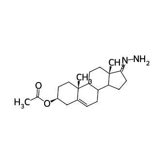 CC(=O)O[C@H]1CC[C@@]2(C)C(=CCC3C2CC[C@]2(C)/C(=N/N)CCC32)C1